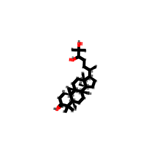 C[C@H](CCC(O)C(C)(C)O)[C@H]1CC[C@@]2(C)[C@@H]3CC[C@H]4C(C)(C)C(=O)CC[C@@]45C[C@@]35CC[C@]12C